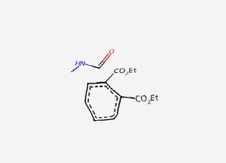 CCOC(=O)c1ccccc1C(=O)OCC.CNC=O